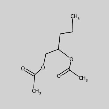 CCCC(COC(C)=O)OC(C)=O